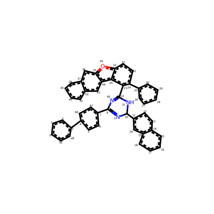 c1ccc(-c2ccc(C3=NC(c4ccc5ccccc5c4)NC(c4c(-c5ccccc5)ccc5oc6cc7ccccc7cc6c45)=N3)cc2)cc1